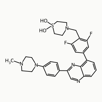 CN1CCN(c2ccc(-c3cnc4cccc(-c5cc(F)c(CN6CCS(O)(O)CC6)c(F)c5)c4n3)cc2)CC1